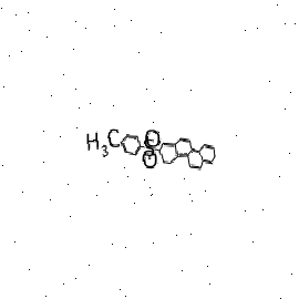 Cc1ccc(S(=O)(=O)C2C=c3ccc4c5c(ccc4c3CC2)=CCC=C5)cc1